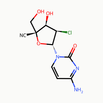 N#C[C@]1(CO)O[C@@H](n2ccc(N)nc2=O)[C@H](Cl)[C@@H]1O